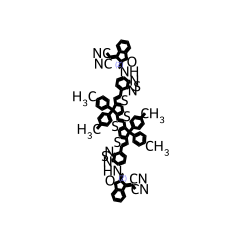 Cc1ccc(C2(c3ccc(C)cc3)c3cc(-c4ccc(N/C=C5\C(=O)c6ccccc6C5=C(C#N)C#N)c5nsnc45)sc3-c3sc4c5c(sc4c32)-c2sc(-c3ccc(N/C=C4\C(=O)c6ccccc6C4=C(C#N)C#N)c4nsnc34)cc2C5(c2ccc(C)cc2)c2ccc(C)cc2)cc1